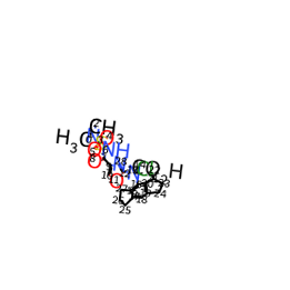 CN(C)S(=O)(=O)NC(=O)c1coc(N(C(=O)O)c2c3c(cc4c2C(Cl)CC4)CCC3)n1